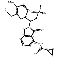 CCOC1=C(OC)C=CC([C@@H](CS(C)(=O)=O)N2Cc3cccc(NC(=O)C4CC4)c3C2=O)C1